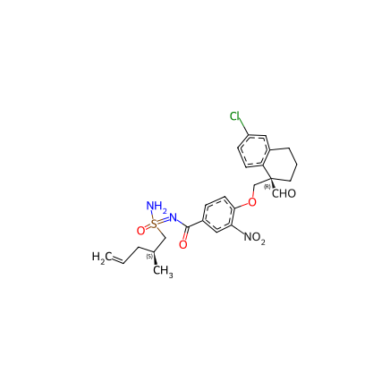 C=CC[C@H](C)CS(N)(=O)=NC(=O)c1ccc(OC[C@@]2(C=O)CCCc3cc(Cl)ccc32)c([N+](=O)[O-])c1